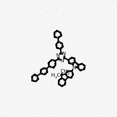 CC1(C)c2ccccc2-c2ccc(-n3c4ccccc4c4ccc(-c5nc(-c6ccc(-c7ccccc7)cc6)nc(-c6ccc(-c7ccc(-c8ccccc8)cc7)cc6)n5)cc43)cc21